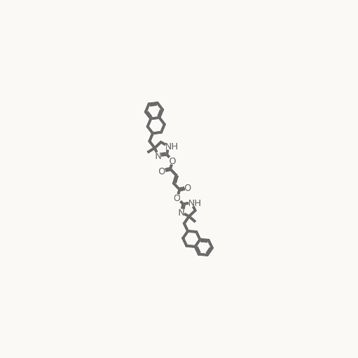 CC1(CC2CCc3ccccc3C2)CNC(OC(=O)/C=C/C(=O)OC2=NC(C)(CC3CCc4ccccc4C3)CN2)=N1